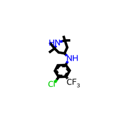 CC1(C)CC(Nc2ccc(Cl)c(C(F)(F)F)c2)CC(C)(C)N1